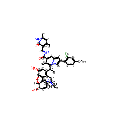 COc1ccc(-c2cc3cc(C(=O)NCc4c(C)cc(C)[nH]c4=O)c(C)c(C(C)c4cc(O)c5c6c4C[C@@H]4[C@@H]7C=C[C@H](O)[C@H](O5)[C@]67CCN4C)n3c2)c(F)c1